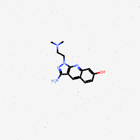 CN(C)CCn1nc(N)c2cc3ccc(O)cc3nc21